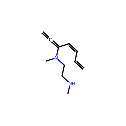 C=C=C(/C=C\C=C)N(C)CCNC